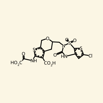 O=C(O)C(=O)Nc1sc2c(c1C(=O)O)CC(CN1C(=O)Nc3cc(Cl)sc3S1(=O)=O)OC2